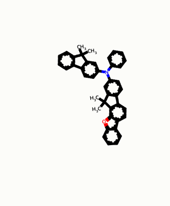 CC1(C)c2ccccc2-c2ccc(N(c3ccccc3)c3ccc4c(c3)C(C)(C)c3c-4ccc4c3oc3ccccc34)cc21